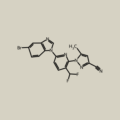 Cc1cc(C#N)nn1-c1nc(-n2cnc3cc(Br)ccc32)ccc1C(F)F